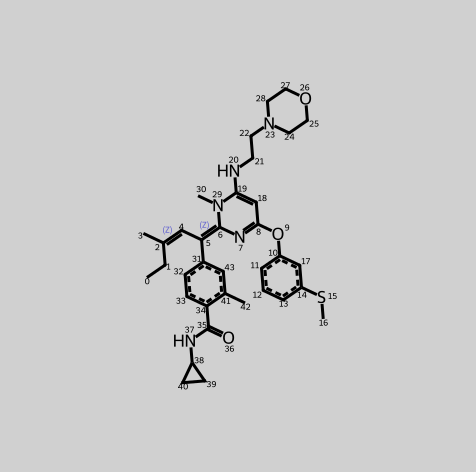 CC/C(C)=C\C(=C1\N=C(Oc2cccc(SC)c2)C=C(NCCN2CCOCC2)N1C)c1ccc(C(=O)NC2CC2)c(C)c1